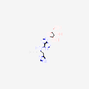 O=C(O)[C@H](Cc1c[nH]cn1)Nc1ncnc2c1ncn2[C@@H]1O[C@H](CO)[C@H](O)C1O